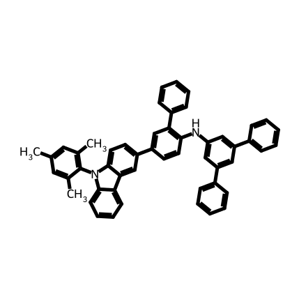 Cc1cc(C)c(-n2c3ccccc3c3cc(-c4ccc(Nc5cc(-c6ccccc6)cc(-c6ccccc6)c5)c(-c5ccccc5)c4)ccc32)c(C)c1